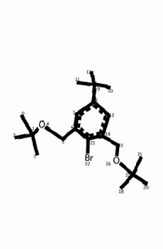 CC(C)(C)OCc1cc(C(C)(C)C)cc(COC(C)(C)C)c1Br